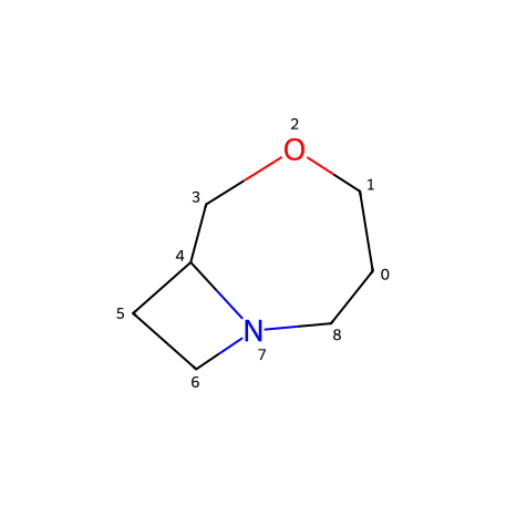 C1COCC2CCN2C1